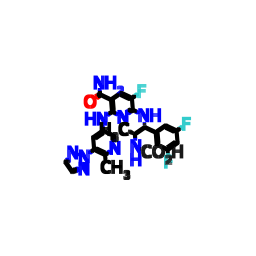 Cc1ncc(Nc2nc(N[C@H](c3cc(F)cc(F)c3)[C@H](C)NC(=O)O)c(F)cc2C(N)=O)cc1-n1nccn1